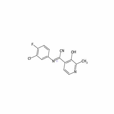 Cc1nccc(/C(C#N)=N/c2ccc(F)c(Cl)c2)c1O